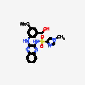 COc1cc(CO)cc(Nc2nc3ccccc3nc2NS(=O)(=O)c2cn(C)cn2)c1